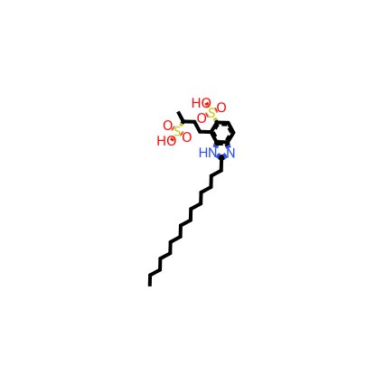 CCCCCCCCCCCCCCCc1nc2ccc(S(=O)(=O)O)c(CCC(C)S(=O)(=O)O)c2[nH]1